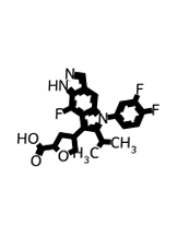 CC(C)c1c(C2COC(C(=O)O)C2)c2c(F)c3[nH]ncc3cc2n1-c1ccc(F)c(F)c1